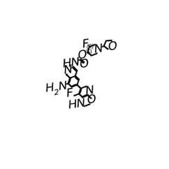 Cc1c(-c2cc3cc(NC(=O)O[C@H]4CCN(C5CCOC5)C[C@H]4F)ncc3c(N)c2F)cnc2c1NCCO2